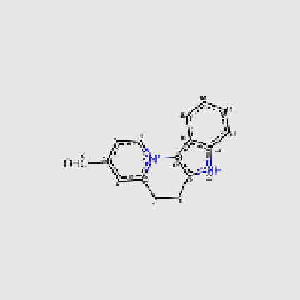 O=Cc1cc[n+]2c(c1)CCc1[nH]c3ccccc3c1-2